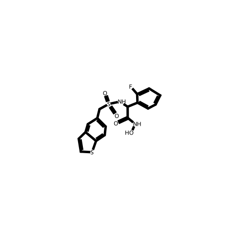 O=C(NO)C(NS(=O)(=O)Cc1ccc2sccc2c1)c1ccccc1F